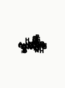 COc1cc(Nc2ncc(-c3cncc(C(=O)NS(C)(=O)=O)c3)c(-n3ccc(C(F)(F)F)n3)n2)cc(OC)c1